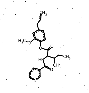 C=CCc1ccc(OC(=O)C(NC(=O)c2cccnc2)C(C)CC)c(OC)c1